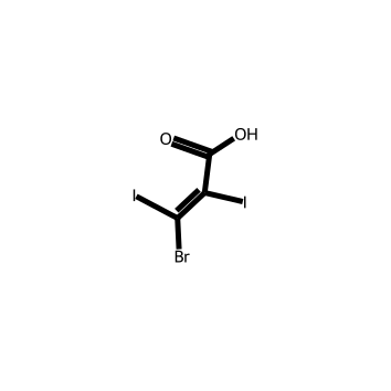 O=C(O)C(I)=C(Br)I